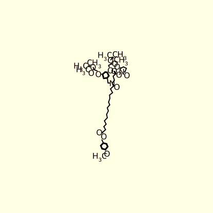 COc1ccc(COC(=O)CCCCCCCCCCCCCCC(=O)N(CCC(=O)ON2C(=O)CCC2=O)Cc2cc(OCC(=O)OC(C)(C)C)cc(OCC(=O)OC(C)(C)C)c2)cc1